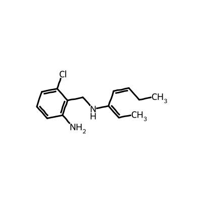 C/C=C(\C=C/CC)NCc1c(N)cccc1Cl